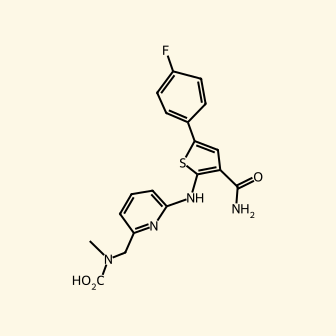 CN(Cc1cccc(Nc2sc(-c3ccc(F)cc3)cc2C(N)=O)n1)C(=O)O